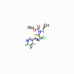 C#CCN(C(=O)OC(C)(C)C)c1sc(-c2cncc(F)c2)nc1Cl